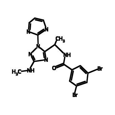 CNc1nc(C(C)NC(=O)c2cc(Br)cc(Br)c2)n(-c2ncccn2)n1